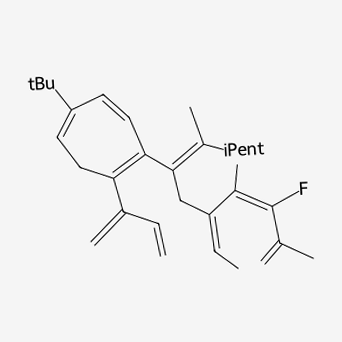 C=CC(=C)C1=C(/C(CC(=C/C)/C(C)=C(/F)C(=C)C)=C(\C)C(C)CCC)C=CC(C(C)(C)C)=CC1